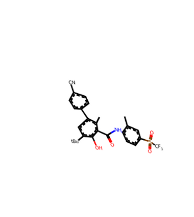 Cc1cc(S(=O)(=O)C(F)(F)F)ccc1NC(=O)c1c(C)c(-c2ccc(C#N)cc2)cc(C(C)(C)C)c1O